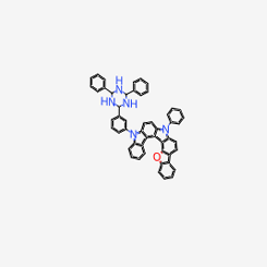 c1ccc(C2NC(c3ccccc3)NC(c3cccc(-n4c5ccccc5c5c6c7c8oc9ccccc9c8ccc7n(-c7ccccc7)c6ccc54)c3)N2)cc1